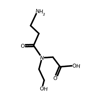 NCCC(=O)N(CCO)CC(=O)O